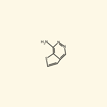 Nc1nncc2ccsc12